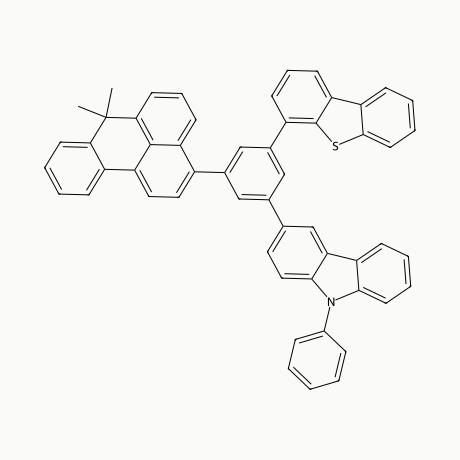 CC1(C)c2ccccc2-c2ccc(-c3cc(-c4ccc5c(c4)c4ccccc4n5-c4ccccc4)cc(-c4cccc5c4sc4ccccc45)c3)c3cccc1c23